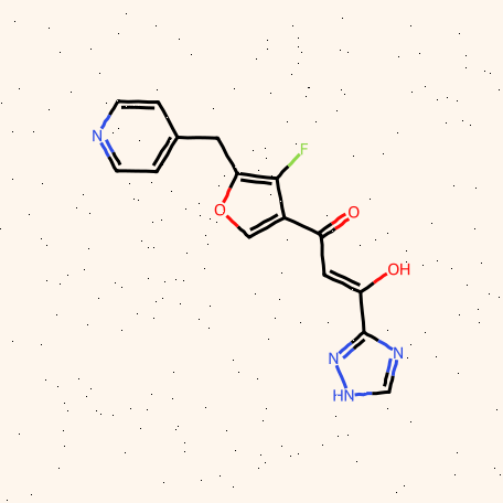 O=C(C=C(O)c1nc[nH]n1)c1coc(Cc2ccncc2)c1F